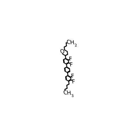 C=CCCC1CCC(c2ccc(-c3ccc(-c4ccc(CCCCC)c(F)c4F)cc3)c(F)c2F)CO1